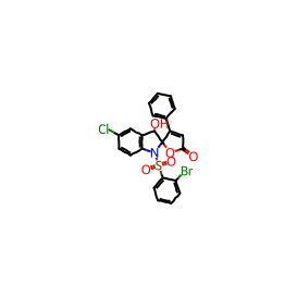 O=C1C=C(c2ccccc2)C2(O1)C(O)c1cc(Cl)ccc1N2S(=O)(=O)c1ccccc1Br